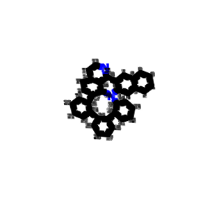 c1ccc2cc3c(cc2c1)c1nccc2ccc4c5ccccc5c5ccccc5c5ccccc5n3c4c21